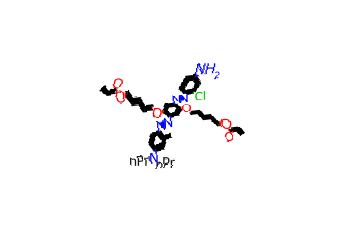 C=CC(=O)OCCCCCOC1=CC(/N=N/c2ccc(N(CCC)CCC)cc2C)C(OCCCCCOC(=O)C=C)C=C1/N=N/C1=C(Cl)CC(N)C=C1